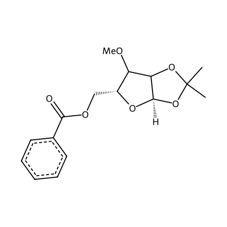 COC1C2OC(C)(C)O[C@H]2O[C@@H]1COC(=O)c1ccccc1